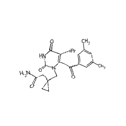 Cc1cc(C)cc(C(=O)c2c(C(C)C)c(=O)[nH]c(=O)n2CC2(CC(N)=O)CC2)c1